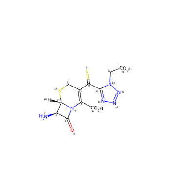 N[C@@H]1C(=O)N2C(C(=O)O)=C(C(=S)c3nnnn3CC(=O)O)CS[C@@H]12